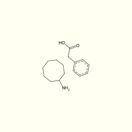 NC1CCCCCCC1.O=C(O)Cc1ccccc1